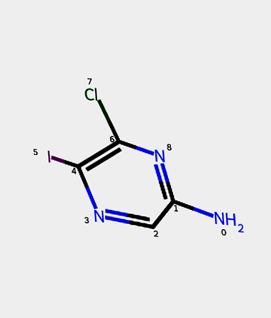 Nc1cnc(I)c(Cl)n1